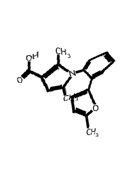 Cc1ccc(-c2ccccc2-n2c(C)cc(C(=O)O)c2C)o1